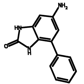 Nc1cc(-c2ccccc2)c2[nH]c(=O)[nH]c2c1